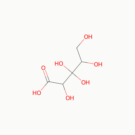 O=C(O)C(O)C(O)(O)C(O)CO